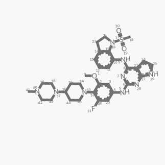 COc1cc(Nc2nc(Nc3cccc4c3N(S(C)(=O)=O)CC4)c3cc[nH]c3n2)cc(F)c1N1CCC(N2CCN(C)CC2)CC1